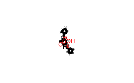 O[C@H]1[C@@H](OCc2ccccc2)[C@@H]2OC[C@@H](O2)[C@H]1OCc1ccccc1